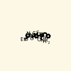 CCOc1ccnc(NC(=O)c2ccc(-c3nn4c(c3C(N)=O)Nc3ccccc3CC4)c(F)c2C)c1